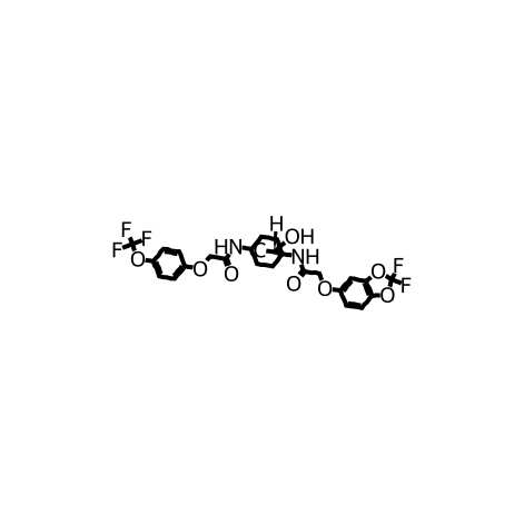 O=C(COc1ccc(OC(F)(F)F)cc1)NC12CCC(NC(=O)COc3ccc4c(c3)OC(F)(F)O4)(CC1)[C@@H](O)C2